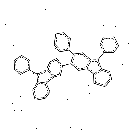 c1ccc(-c2cc3c(cc2-c2ccc4c(c2)c2ccccc2n4-c2ccccc2)c2ccccc2n3-c2ccccc2)cc1